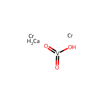 [CaH2].[Cr].[Cr].[O]=[V](=[O])[OH]